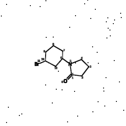 O=C1CCCN1C1CCCC(Br)C1